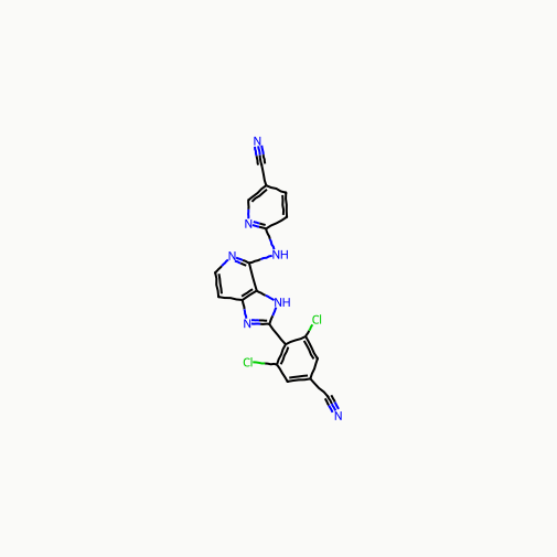 N#Cc1ccc(Nc2nccc3nc(-c4c(Cl)cc(C#N)cc4Cl)[nH]c23)nc1